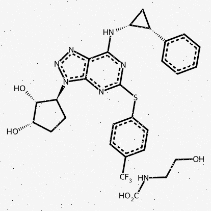 O=C(O)NCCO.O[C@H]1[C@@H](O)CC[C@@H]1n1nnc2c(N[C@@H]3C[C@@H]3c3ccccc3)nc(Sc3ccc(C(F)(F)F)cc3)nc21